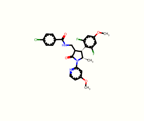 COc1ccnc(N2C(=O)C(CNC(=O)c3ccc(Cl)cc3)[C@H](c3c(F)cc(OC)cc3F)[C@@H]2C)c1